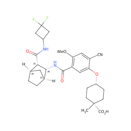 COc1cc(C#N)c(O[C@H]2CC[C@@](C)(C(=O)O)CC2)cc1C(=O)N[C@@H]1[C@H]2CC[C@H](C2)[C@@H]1C(=O)NC1CC(F)(F)C1